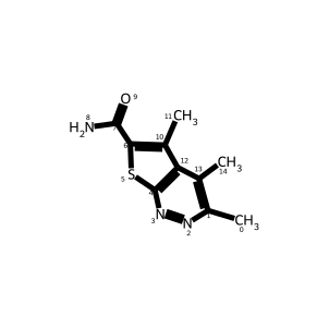 Cc1nnc2sc(C(N)=O)c(C)c2c1C